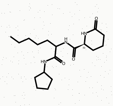 [CH2]CCCCC(NC(=O)[C@@H]1CCCC(=O)N1)C(=O)NC1CCCC1